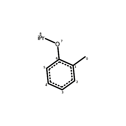 Cc1cc[c]cc1OC(C)C